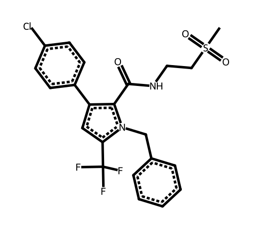 CS(=O)(=O)CCNC(=O)c1c(-c2ccc(Cl)cc2)cc(C(F)(F)F)n1Cc1ccccc1